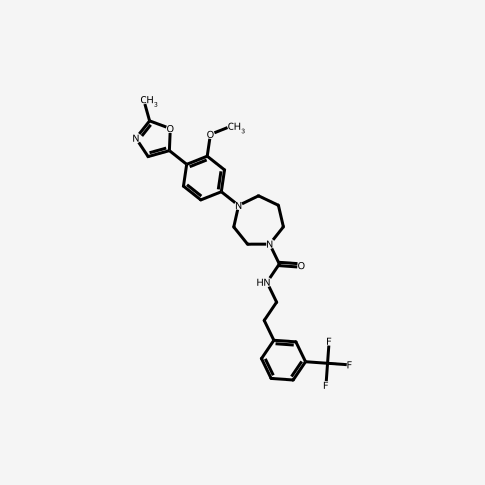 COc1cc(N2CCCN(C(=O)NCCc3cccc(C(F)(F)F)c3)CC2)ccc1-c1cnc(C)o1